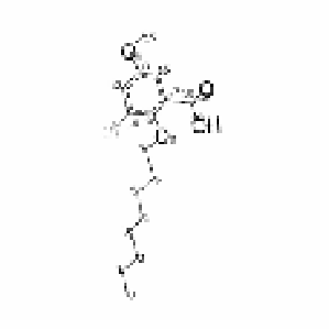 CCCCCCCCOc1c(I)cc(OC)cc1C(=O)O